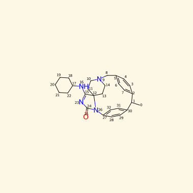 CC1c2ccc(cc2)CN2CCC3(CC2)C(NC2CCCCC2)=NC(=O)N3c2ccc1cc2